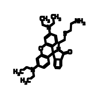 CCN(CC)c1ccc2c(c1)Oc1cc(N(CC)CC)ccc1C21c2ccccc2C(=O)N1CCSCCN